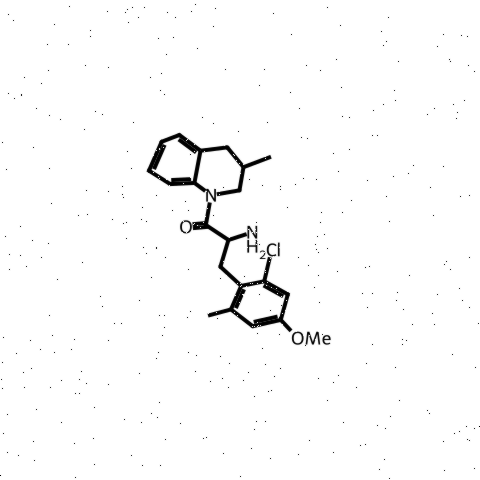 COc1cc(C)c(CC(N)C(=O)N2CC(C)Cc3ccccc32)c(Cl)c1